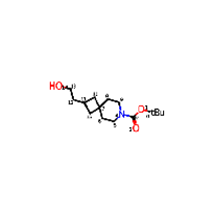 CC(C)(C)OC(=O)N1CCC2(CC1)CC(CCO)C2